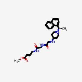 COC(=O)/C=C/CNC(=O)CNC(=O)CNC1CCN([C@H](C)c2cccc3ccccc23)CC1